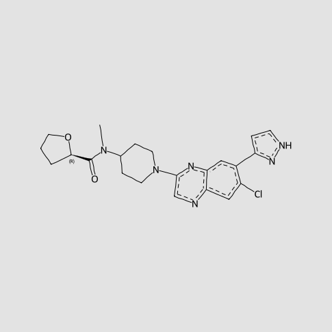 CN(C(=O)[C@H]1CCCO1)C1CCN(c2cnc3cc(Cl)c(-c4cc[nH]n4)cc3n2)CC1